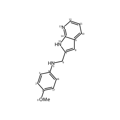 COc1ccc(NCc2cc3cccnc3[nH]2)cc1